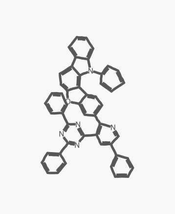 c1ccc(-c2cnc(-c3ccc4c(c3)oc3ccc5c6ccccc6n(-c6ccccc6)c5c34)c(-c3nc(-c4ccccc4)nc(-c4ccccc4)n3)c2)cc1